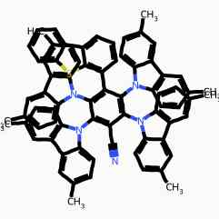 Cc1ccc2c(c1)c1cc(C)ccc1n2-c1c(C#N)c(-n2c3ccc(C)cc3c3cc(C)ccc32)c(-n2c3ccc(C)cc3c3cc(C)ccc32)c(-c2cccc3c2sc2ccccc23)c1-n1c2ccc(C)cc2c2cc(C)ccc21